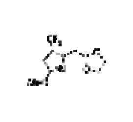 COC1=NC(CC2OCCO2)C(C(F)(F)F)C1